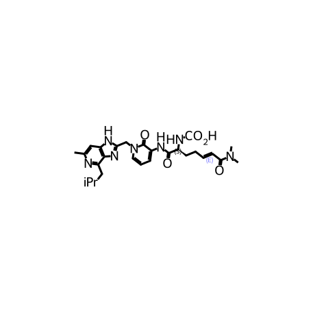 Cc1cc2[nH]c(Cn3cccc(NC(=O)[C@H](CC/C=C/C(=O)N(C)C)NC(=O)O)c3=O)nc2c(CC(C)C)n1